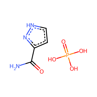 NC(=O)c1cc[nH]n1.O=P(O)(O)O